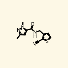 Cc1cc(C(=O)NCc2ccsc2C#N)n(C)n1